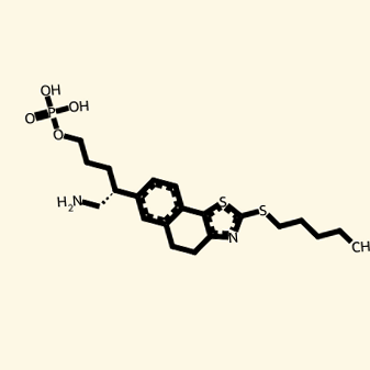 CCCCCSc1nc2c(s1)-c1ccc([C@H](CN)CCCOP(=O)(O)O)cc1CC2